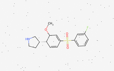 COC1C=C(S(=O)(=O)c2cccc(F)c2)C=CC1[C@@H]1CCNC1